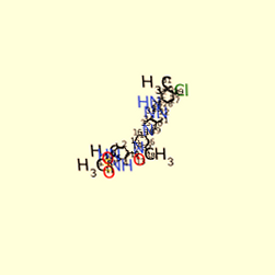 C/C=C\C(=C/C(=N)NS(C)(=O)=O)C(=O)N1CC[C@H](N2Cc3cnc(Nc4ccc(Cl)c(C)c4)nc3C2)C[C@H]1C